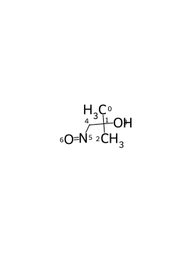 CC(C)(O)CN=O